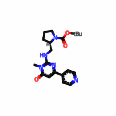 Cn1c(NC[C@H]2CCCN2C(=O)OC(C)(C)C)nc(-c2ccncc2)cc1=O